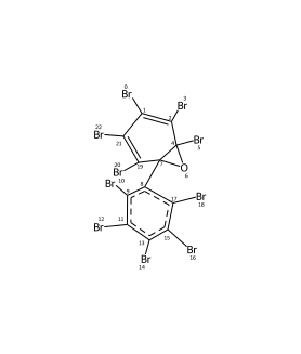 BrC1=C(Br)C2(Br)OC2(c2c(Br)c(Br)c(Br)c(Br)c2Br)C(Br)=C1Br